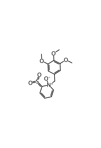 COc1cc(C[N+]2([O-])C=CC=CC2=S(=O)=O)cc(OC)c1OC